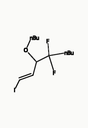 CCCCOC(/C=C/I)C(F)(F)CCCC